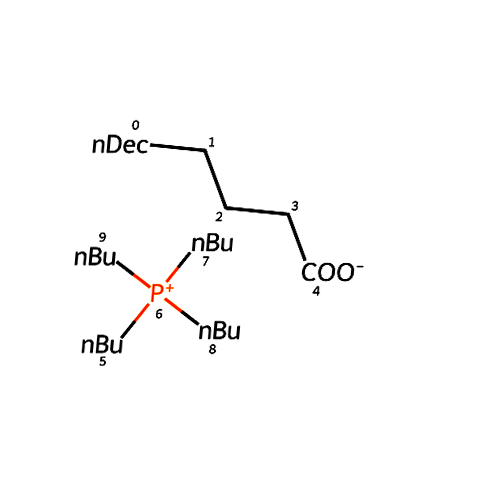 CCCCCCCCCCCCCC(=O)[O-].CCCC[P+](CCCC)(CCCC)CCCC